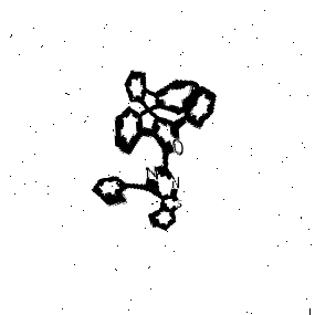 c1ccc(-c2oc(-c3nc(-c4ccccc4)c4c(n3)sc3ccccc34)c3c2C2(c4ccccc4-c4ccccc42)c2ccccc2-3)cc1